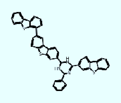 c1ccc(C2N=C(c3ccc4c(c3)sc3ccccc34)NC(c3ccc4c(c3)sc3ccc(-c5cccc6c5sc5ccccc56)cc34)N2)cc1